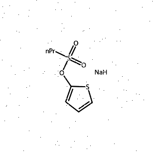 CCCS(=O)(=O)Oc1cccs1.[NaH]